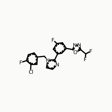 Fc1cc(-c2nnc(C(F)F)o2)cc(-c2nccn2Cc2ccc(F)c(Cl)c2)c1